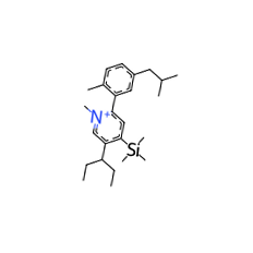 CCC(CC)c1c[n+](C)c(-c2cc(CC(C)C)ccc2C)cc1[Si](C)(C)C